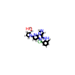 Cc1cccc(Cl)c1Nc1nc2ccc(N3CCC[C@@H]3CO)nc2n2cncc12